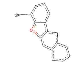 CC(C)(C)c1cccc2c1oc1cc3ccccc3cc12